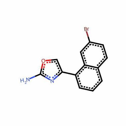 Nc1nc(-c2cccc3ccc(Br)cc23)co1